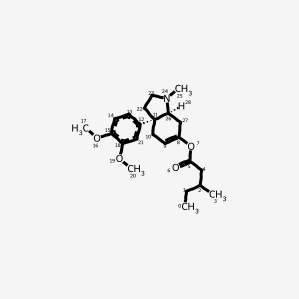 CCC(C)CC(=O)OC1=CC[C@@]2(c3ccc(OC)c(OC)c3)CCN(C)[C@H]2C1